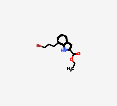 CCOC(=O)c1cc2cccc(CCCBr)c2[nH]1